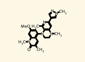 COc1cc(N2CCN(C)c3cc(-c4cnn(C)c4)nc(C)c32)c2cc(C)c(=O)n(C)c2c1